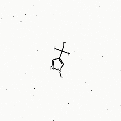 [C]n1cc(C(F)(F)F)cn1